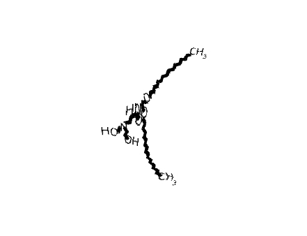 CCCCCCCCC=CCCCCCCCCOCCC(NC(=O)CCCN(CCO)CCO)OCCCCCCCCC=CCCCCCCCC